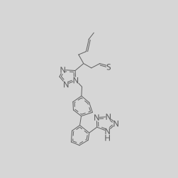 CC=CCC(CC=S)c1ncnn1Cc1ccc(-c2ccccc2-c2nnn[nH]2)cc1